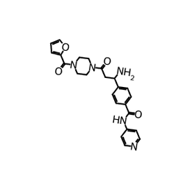 NC(CC(=O)N1CCN(C(=O)c2ccco2)CC1)c1ccc(C(=O)Nc2ccncc2)cc1